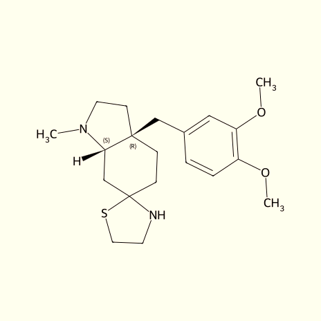 COc1ccc(C[C@]23CCN(C)[C@H]2CC2(CC3)NCCS2)cc1OC